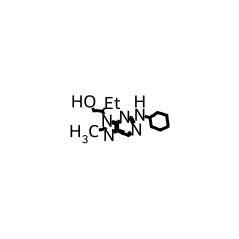 CC[C@H](CO)n1c(C)nc2cnc(NC3CCCCC3)nc21